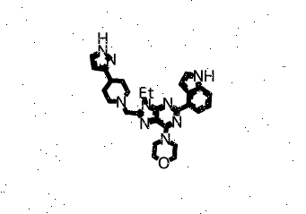 CCn1c(CN2CCC(c3cc[nH]n3)CC2)nc2c(N3CCOCC3)nc(-c3cccc4[nH]ccc34)nc21